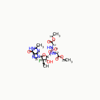 C#C[C@]1(F)C(O)[C@@H](COP(=O)(NCC(=O)OCC)NCC(=O)OCC)O[C@H]1n1cnc2c(=O)[nH]c(C)nc21